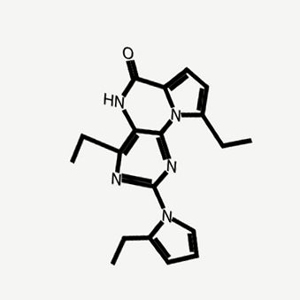 CCc1nc(-n2cccc2CC)nc2c1[nH]c(=O)c1ccc(CC)n12